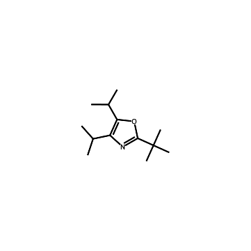 CC(C)c1nc(C(C)(C)C)oc1C(C)C